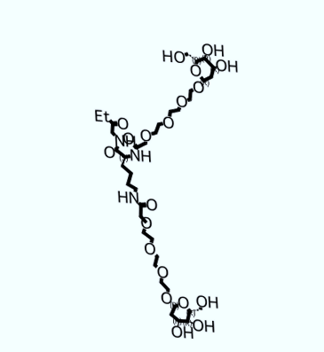 CCC(=O)CNC(=O)[C@H](CCCCNC(=O)COCCOCCOCCO[C@H]1C[C@@H](O)[C@@H](O)[C@@H](CO)O1)NC(=O)COCCOCCOCCO[C@H]1C[C@@H](O)[C@@H](O)[C@@H](CO)O1